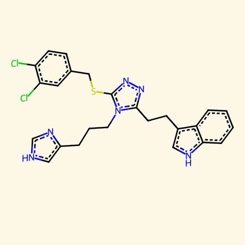 Clc1ccc(CSc2nnc(CCc3c[nH]c4ccccc34)n2CCCc2c[nH]cn2)cc1Cl